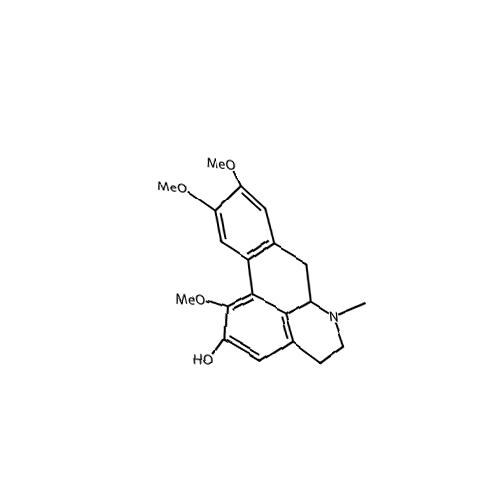 COc1cc2c(cc1OC)-c1c(OC)c(O)cc3c1C(C2)N(C)CC3